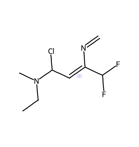 C=N/C(=C\C(Cl)N(C)CC)C(F)F